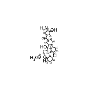 COCCCCC(O)(c1cccc(Cl)c1Cc1ccccc1C)C1CCCN(C(=O)C2CC(N)C(O)C2)C1